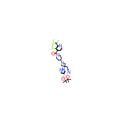 CC1(C)OB(c2cnn(C3(CC#N)CN(C4CCN(C(=O)c5ccnc(C(F)(F)F)c5F)CC4)C3)c2)OC1(C)C